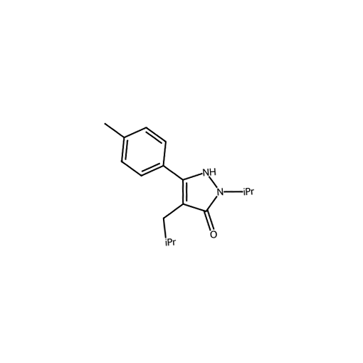 Cc1ccc(-c2[nH]n(C(C)C)c(=O)c2CC(C)C)cc1